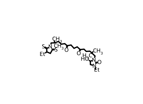 CCC1CC(=S)N(CC(C)(C)CCCC(=O)CCCC(=O)CCCC(C)(C)CN2C(=O)N(CC)CC2O)C1=S